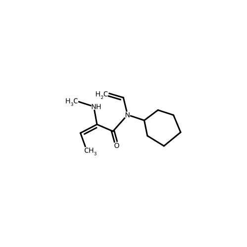 C=CN(C(=O)/C(=C\C)NC)C1CCCCC1